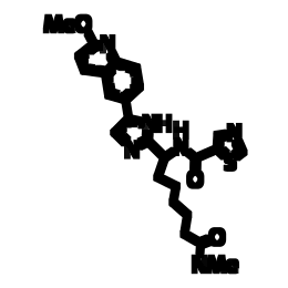 CNC(=O)CCCCCC(NC(=O)c1cncs1)c1ncc(-c2ccc3nc(OC)ccc3c2)[nH]1